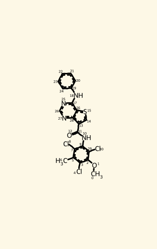 COc1c(Cl)c(C)c(Cl)c(NC(=O)c2csc3c(Nc4ccccc4)ncnc23)c1Cl